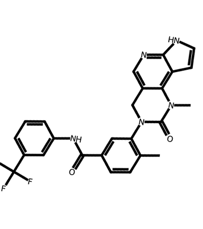 Cc1ccc(C(=O)Nc2cccc(C(F)(F)F)c2)cc1N1Cc2cnc3[nH]ccc3c2N(C)C1=O